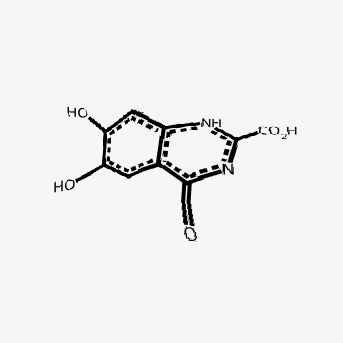 O=C(O)c1nc(=O)c2cc(O)c(O)cc2[nH]1